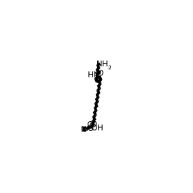 C[N+](C)(C)CCOP(=O)(O)OCCCCCCCCCCCCCCCCCCc1ccc(NC(=O)CCCN)cc1